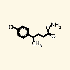 CC(CCC(=O)ON)c1ccc(Cl)cc1